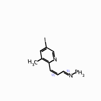 Cc1cc(I)cnc1/C=C\C=N\P